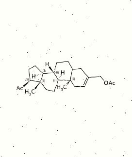 CC(=O)OCC1=CC[C@@]2(C)C(CC[C@H]3[C@@H]4CC[C@H](C(C)=O)[C@@]4(C)CC[C@@H]32)C1